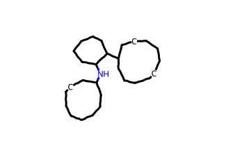 C1CCCCC(NC2CCCCCC2C2CCCCCCCCCC2)CCCC1